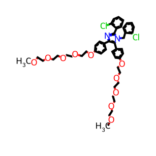 COCCOCCOCCOCCOc1ccc(-c2nc(-c3ccccc3Cl)n(Cc3ccccc3Cl)c2-c2ccc(OCCOCCOCCOCCOC)cc2)cc1